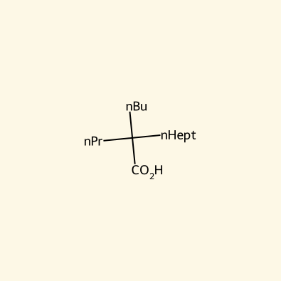 CCCCCCCC(CCC)(CCCC)C(=O)O